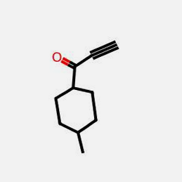 C#CC(=O)C1CCC(C)CC1